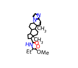 CCC(NC(=O)C1CCC2C3CCC4n5ccnc5C=CC4(C)C3CCC12C)C(=O)OC